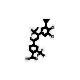 O=C(O)c1ccc(C(F)=CC(c2cc(Cl)c(Cl)c(C3CC3)c2)C(F)(F)F)cc1C(F)(F)F